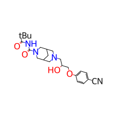 CC(C)(C)C(=O)NC(=O)N1CC2CC(CN(CC(O)COc3ccc(C#N)cc3)C2)C1